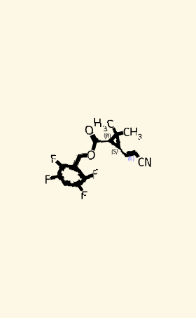 CC1(C)[C@H](C(=O)OCc2c(F)c(F)cc(F)c2F)[C@@H]1/C=C/C#N